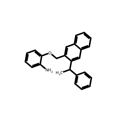 CC(c1ccccc1)c1cc2ccccc2cc1COc1ccccc1N